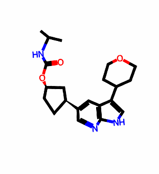 CC(C)NC(=O)O[C@@H]1CC[C@H](c2cnc3[nH]cc(C4CCOCC4)c3c2)C1